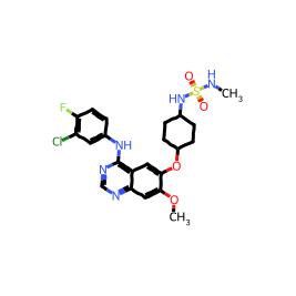 CNS(=O)(=O)NC1CCC(Oc2cc3c(Nc4ccc(F)c(Cl)c4)ncnc3cc2OC)CC1